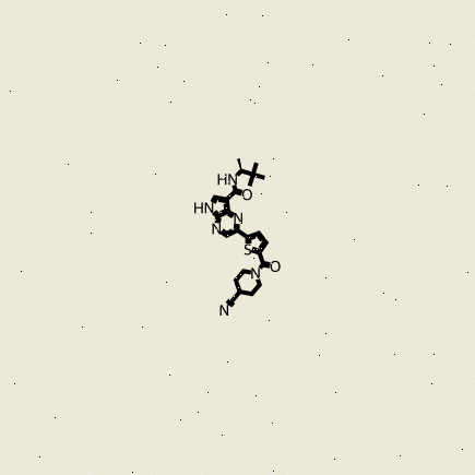 C[C@H](NC(=O)c1c[nH]c2ncc(-c3ccc(C(=O)N4CCC(C#N)CC4)s3)nc12)C(C)(C)C